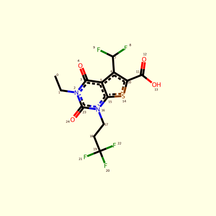 CCn1c(=O)c2c(C(F)F)c(C(=O)O)sc2n(CCC(F)(F)F)c1=O